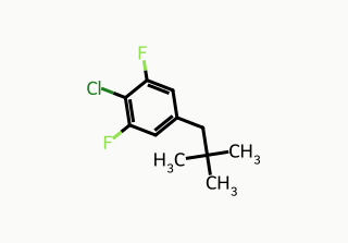 CC(C)(C)Cc1cc(F)c(Cl)c(F)c1